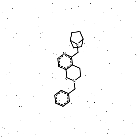 c1ccc(CN2CCc3c(ccnc3CN3C4CCC3CC4)C2)cc1